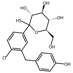 OC[C@H]1OC(S)(c2ccc(Cl)c(Cc3ccc(O)cc3)c2)[C@H](O)[C@@H](O)[C@@H]1O